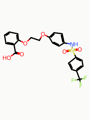 O=C(O)c1ccccc1OCCOc1ccc(NS(=O)(=O)c2ccc(C(F)(F)F)cc2)cc1